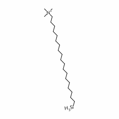 C[N+](C)(C)CCCCCCCCCCCCCCCCCCC[SiH3]